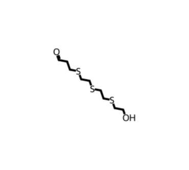 O=CCCSCCSCCSCCO